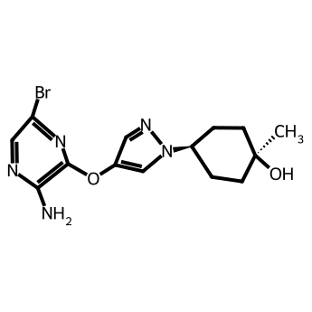 C[C@]1(O)CC[C@@H](n2cc(Oc3nc(Br)cnc3N)cn2)CC1